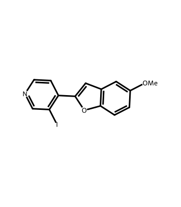 COc1ccc2oc(-c3ccncc3I)cc2c1